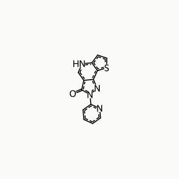 O=c1c2c[nH]c3ccsc3c-2nn1-c1ccccn1